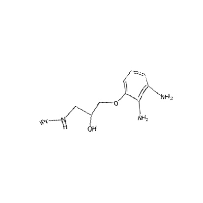 CC(C)NCC(O)COc1cccc(N)c1N